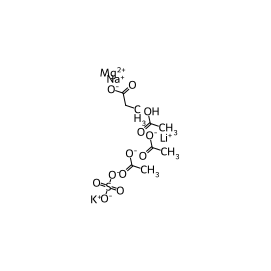 CC(=O)O.CC(=O)[O-].CC(=O)[O-].CCC(=O)[O-].O=S(=O)([O-])[O-].[K+].[Li+].[Mg+2].[Na+]